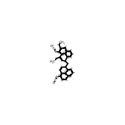 CCC1=CC(CC2C=Cc3c(N=C=O)ccc4cccc2c34)c2cccc3cc(CC)c(N=C=O)c1c23